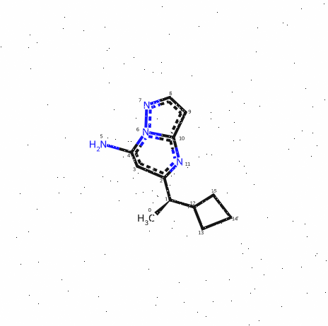 C[C@@H](c1cc(N)n2nccc2n1)C1CCC1